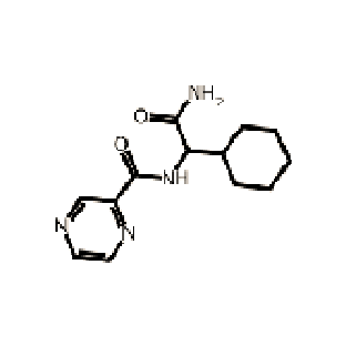 NC(=O)C(NC(=O)c1cnccn1)C1CCCCC1